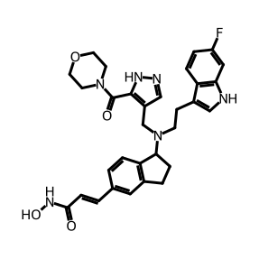 O=C(/C=C/c1ccc2c(c1)CCC2N(CCc1c[nH]c2cc(F)ccc12)Cc1cn[nH]c1C(=O)N1CCOCC1)NO